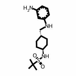 CC(C)(C)S(=O)(=O)N[C@H]1CC[C@H](CNc2cccc(N)c2)CC1